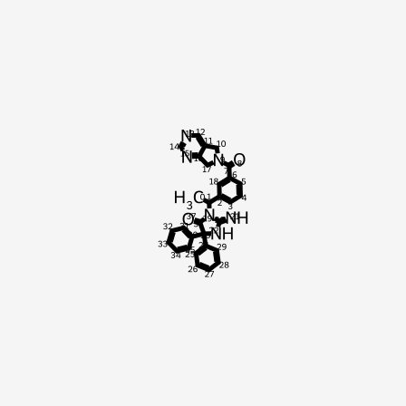 CC(c1cccc(C(=O)N2Cc3cncnc3C2)c1)N1C(=N)NC(c2ccccc2)(c2ccccc2)C1=O